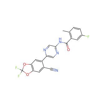 Cc1ccc(F)cc1C(=O)Nc1cnc(-c2cc3c(cc2C#N)OC(F)(F)O3)cn1